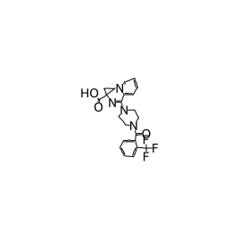 O=C(c1ccccc1C(F)(F)F)N1CCN(/C(=N/C2(C(=O)O)CC2)c2ccccn2)CC1